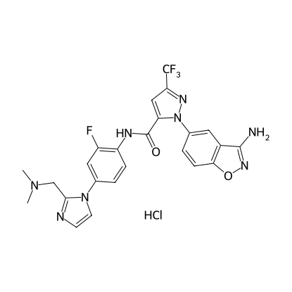 CN(C)Cc1nccn1-c1ccc(NC(=O)c2cc(C(F)(F)F)nn2-c2ccc3onc(N)c3c2)c(F)c1.Cl